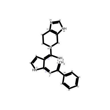 C=C(/N=C1/NC=C/C1=C(/N)N1CCc2nc[nH]c2C1)c1ccccc1